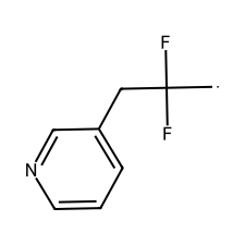 [CH2]C(F)(F)Cc1cccnc1